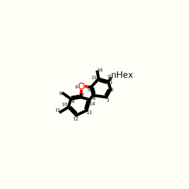 CCCCCCc1ccc2c(oc3c(C)c(C)ccc32)c1C